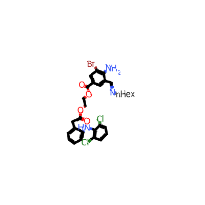 CCCCCCN=Cc1cc(C(=O)OCCOC(=O)Cc2ccccc2Nc2c(Cl)cccc2Cl)cc(Br)c1N